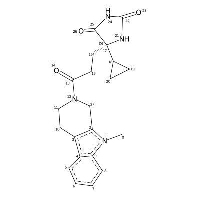 Cn1c2c(c3ccccc31)CCN(C(=O)CC[C@@]1(C3CC3)NC(=O)NC1=O)C2